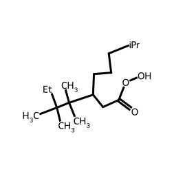 CCC(C)(C)C(C)(C)C(CCCC(C)C)CC(=O)OO